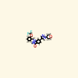 Cn1c(=O)c2ccc(-c3cnn(C4CCOCC4)c3)cc2n1Cc1ccccc1OC(F)F